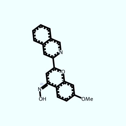 COc1ccc2/c(=N\O)cc(-c3cc4ccccc4cn3)oc2c1